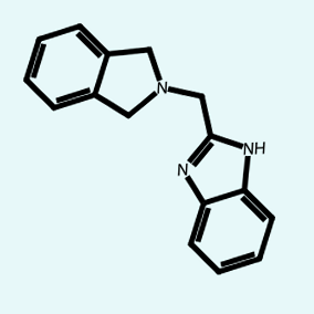 c1ccc2c(c1)CN(Cc1nc3ccccc3[nH]1)C2